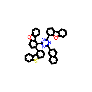 c1ccc2cc(-c3nc(-c4cccc5c4oc4ccccc45)nc(-c4c(-c5cccc6sc7ccccc7c56)ccc5oc6ccccc6c45)n3)ccc2c1